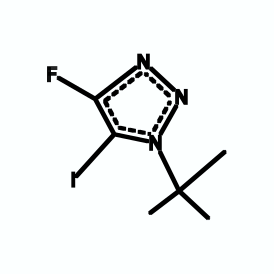 CC(C)(C)n1nnc(F)c1I